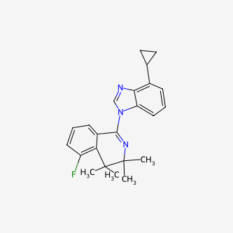 CC1(C)N=C(n2cnc3c(C4CC4)cccc32)c2cccc(F)c2C1(C)C